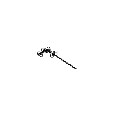 CCC=CCC=CCC=CCC=CCC=CCC=CCCC(=O)NCCNC(=O)[C@H](C)NC(=O)C=CC(=O)OC